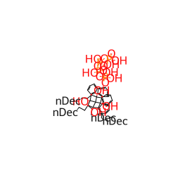 CCCCCCCCCCCCCC(O)(c1ccccc1)C(C(O)(CCCCCCCCCCCCC)c1ccccc1)(C(O)(CCCCCCCCCCCCC)c1ccccc1)C(O)(CCCCCCCCCCCCC)c1ccccc1.O=P(O)(O)OP(=O)(O)OP(=O)(O)OP(=O)(O)O